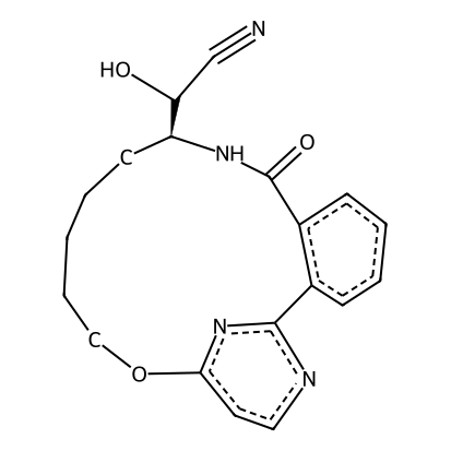 N#CC(O)[C@@H]1CCCCCOc2ccnc(n2)-c2ccccc2C(=O)N1